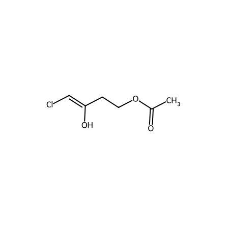 CC(=O)OCCC(O)=CCl